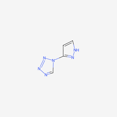 c1cc(-n2cnnn2)n[nH]1